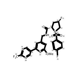 COc1cc(CNC(=O)[C@@H]2C[C@@H](F)CN2S(=O)(=O)c2ccc(F)cc2)cc(-c2cnc(C(F)(F)F)nc2)n1